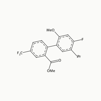 COC(=O)c1cc(C(F)(F)F)ccc1-c1cc(C(C)C)c(F)cc1OC